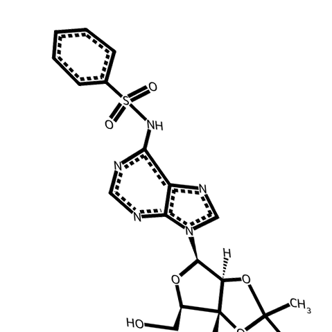 CC1(C)O[C@H]2[C@H](O1)[C@@H](CO)O[C@H]2n1cnc2c(NS(=O)(=O)c3ccccc3)ncnc21